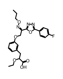 CCCON=C(COc1cccc(CC(OCC)C(=O)O)c1)c1nnc(-c2ccc(F)cc2)o1